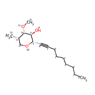 CCCCCCCC#C[C@@H]1OC[C@H](C)[C@H](OC)[C@H]1O